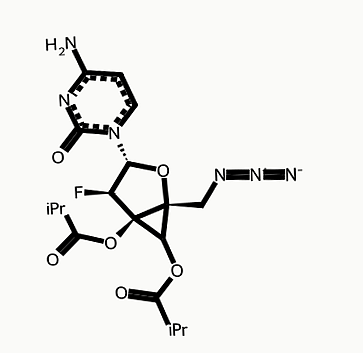 CC(C)C(=O)OC1[C@@]2(CN=[N+]=[N-])O[C@@H](n3ccc(N)nc3=O)[C@H](F)[C@@]12OC(=O)C(C)C